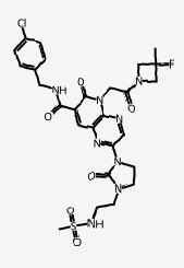 CC1(F)CN(C(=O)Cn2c(=O)c(C(=O)NCc3ccc(Cl)cc3)cc3nc(N4CCN(CCNS(C)(=O)=O)C4=O)cnc32)C1